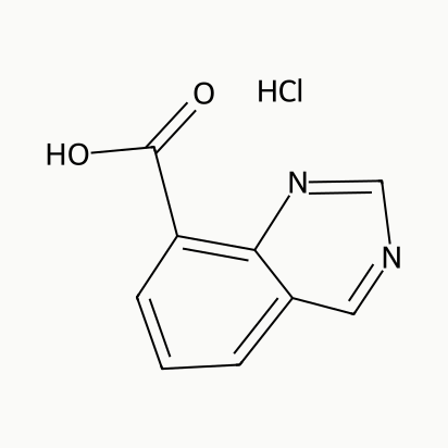 Cl.O=C(O)c1cccc2cncnc12